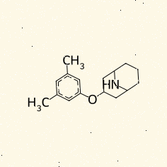 Cc1cc(C)cc(OC2CC3CCCC(C2)N3)c1